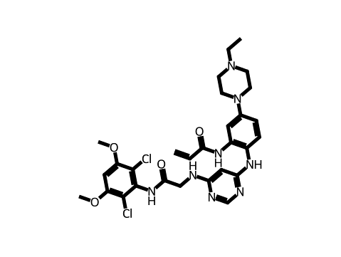 C=CC(=O)Nc1cc(N2CCN(CC)CC2)ccc1Nc1cc(NCC(=O)Nc2c(Cl)c(OC)cc(OC)c2Cl)ncn1